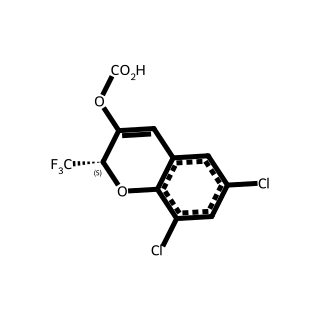 O=C(O)OC1=Cc2cc(Cl)cc(Cl)c2O[C@@H]1C(F)(F)F